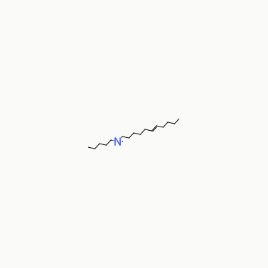 CCCCC=CCCCCC[N]CCCCC